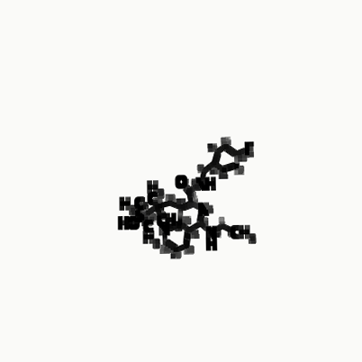 CCNc1nc(C(=O)NCc2ccc(F)cc2)c(CC(C)(C)[Si](C)(C)O)c2ncccc12